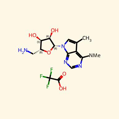 CNc1ncnc2c1c(C)cn2[C@@H]1O[C@H](CN)[C@@H](O)[C@H]1O.O=C(O)C(F)(F)F